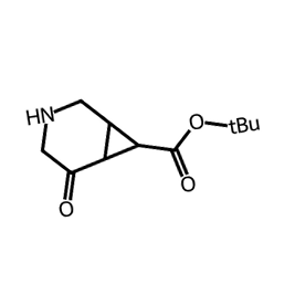 CC(C)(C)OC(=O)C1C2CNCC(=O)C21